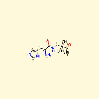 CCC(=O)C(C)(C)CNC(=O)[C@@H](N)Cc1cnc[nH]1